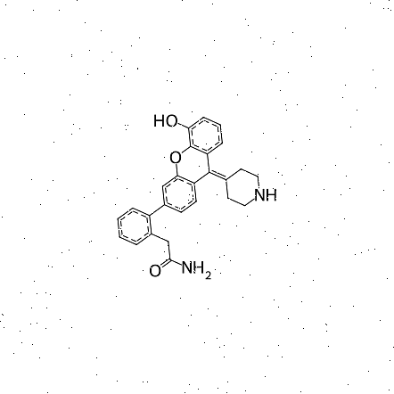 NC(=O)Cc1ccccc1-c1ccc2c(c1)Oc1c(O)cccc1C2=C1CCNCC1